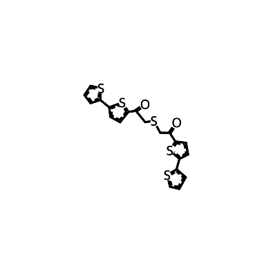 O=C(CSCC(=O)c1ccc(-c2cccs2)s1)c1ccc(-c2cccs2)s1